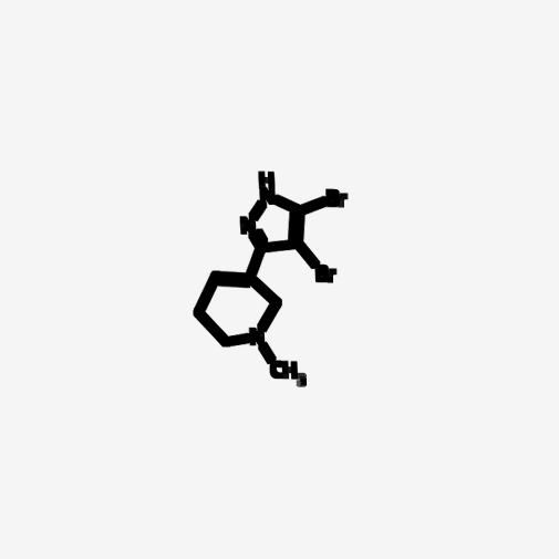 CN1CCC=C(c2n[nH]c(Br)c2Br)C1